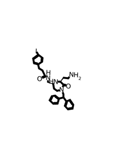 NCC[C@@H]1N[C@H](CNC(=O)CCc2ccc(I)cc2)CCN(CC(c2ccccc2)c2ccccc2)C1=O